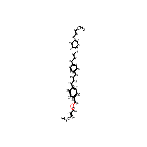 C=CCC[C@H]1CC[C@H](CCCCc2ccc(CCCCc3ccc(COCC=CC)cc3)cc2)CC1